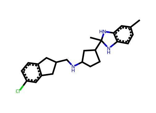 Cc1ccc2c(c1)NC(C)(C1CCC(NCC3Cc4ccc(Cl)cc4C3)C1)N2